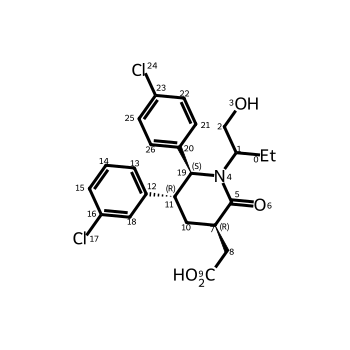 CCC(CO)N1C(=O)[C@@H](CC(=O)O)C[C@H](c2cccc(Cl)c2)[C@H]1c1ccc(Cl)cc1